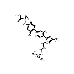 COC(=O)C1(Oc2cc(C)c(-c3ccc(-c4nc(C(F)(F)F)cn4COCC[Si](C)(C)C)c(Cl)c3)cn2)CC1